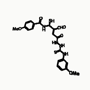 COc1ccc(C(=O)NC(S)C(C=O)CC(=O)NNC(=S)Nc2cccc(OC)c2)cc1